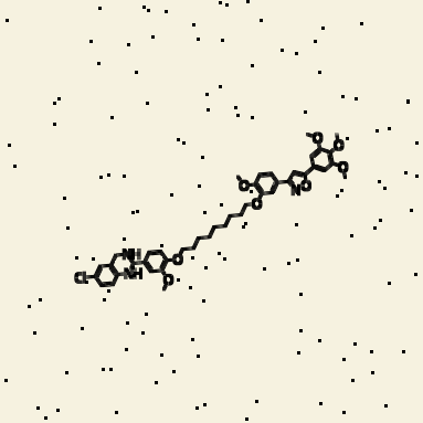 COc1cc(C2NCc3cc(Cl)ccc3N2)ccc1OCCCCCCCCCOc1cc(-c2cc(-c3cc(OC)c(OC)c(OC)c3)on2)ccc1OC